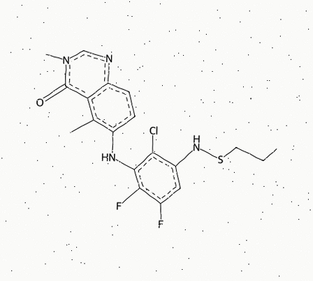 CCCSNc1cc(F)c(F)c(Nc2ccc3ncn(C)c(=O)c3c2C)c1Cl